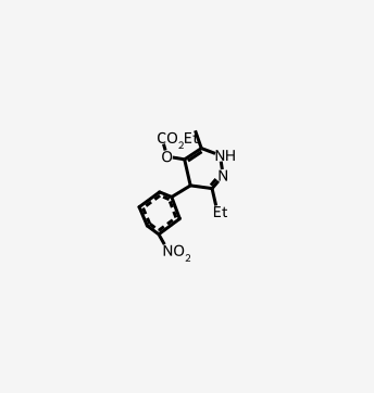 CCOC(=O)OC1=C(C)NN=C(CC)C1c1cccc([N+](=O)[O-])c1